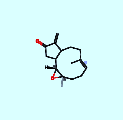 C=C1C(=O)CC2C1CC/C(C)=C/CC[C@@]1(C)O[C@H]21